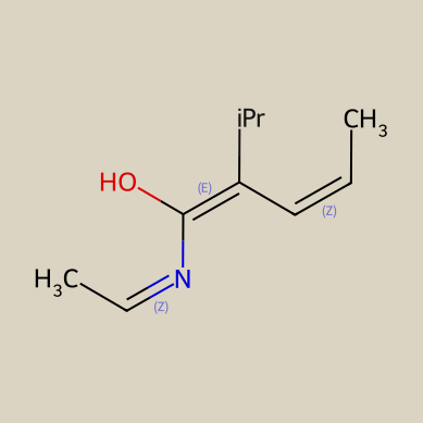 C\C=C/C(=C(O)\N=C/C)C(C)C